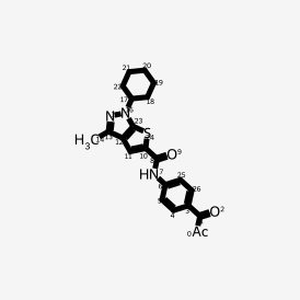 CC(=O)C(=O)c1ccc(NC(=O)c2cc3c(C)nn(C4CCCCC4)c3s2)cc1